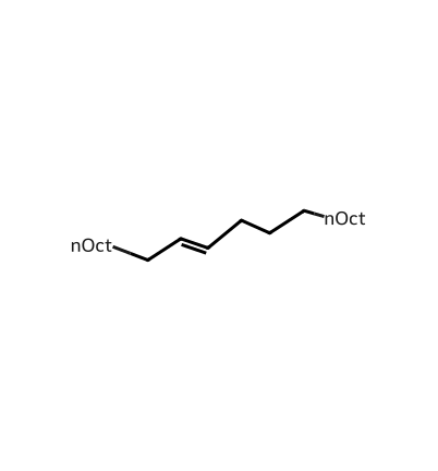 CCCCCCCCC/C=C/CCCCCCCCCCC